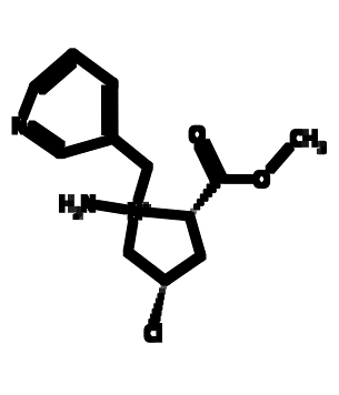 COC(=O)[C@@H]1C[C@H](Cl)C[N+]1(N)Cc1cccnc1